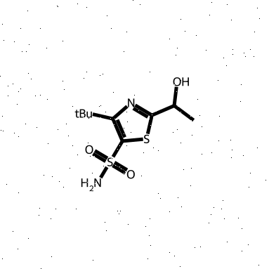 CC(O)c1nc(C(C)(C)C)c(S(N)(=O)=O)s1